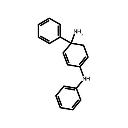 NC1(c2ccccc2)C=CC(Nc2ccccc2)=CC1